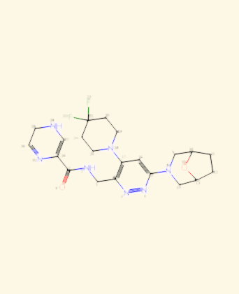 O=C(NCc1nnc(N2CC3CCC(C2)O3)cc1N1CCC(F)(F)CC1)C1=CNCC=N1